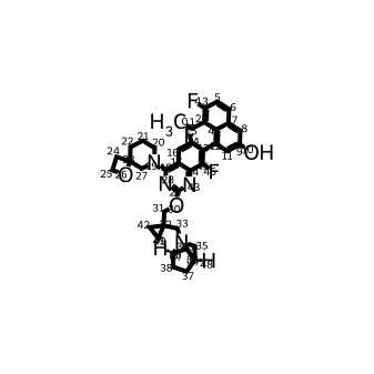 CCc1c(F)ccc2cc(O)cc(-c3c(F)cc4c(N5CCCC6(CCO6)C5)nc(OCC5(CN6C[C@@H]7CC[C@H]6C7)CC5)nc4c3F)c12